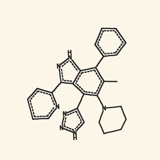 Cc1c(N2CCCCC2)c(-c2c[nH]nn2)c2c(-c3ccccn3)n[nH]c2c1-c1ccccc1